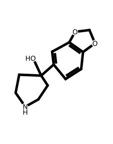 OC1(c2ccc3c(c2)OCO3)CCNCC1